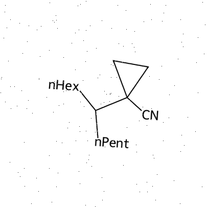 CCCCCCC(CCCCC)C1(C#N)CC1